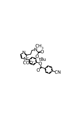 CN(CCC1=NC=C[N+]1(C(=O)[O-])c1ccc(OC(=O)c2ccc(C#N)cc2)cc1)C(=O)OC(C)(C)C